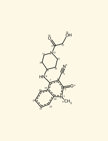 Cn1c(=O)c(C#N)c(NC2CCN(C(=O)CO)CC2)c2ccccc21